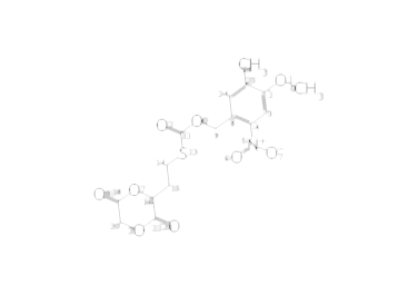 COc1cc([N+](=O)[O-])c(COC(=O)SCCC2OC(=O)COC2=O)cc1C